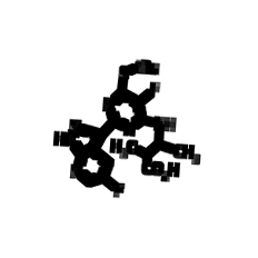 CC(Nc1nc(-c2n[nH]c3ncc(F)cc23)nc(SC(C)(C)C)c1F)C(C)C(=O)O